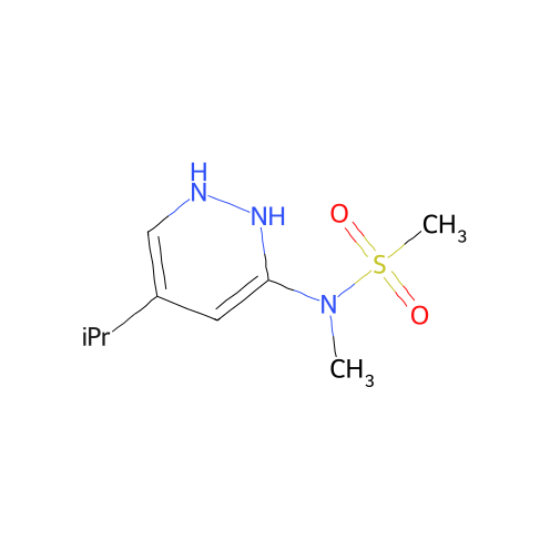 CC(C)C1=CNNC(N(C)S(C)(=O)=O)=C1